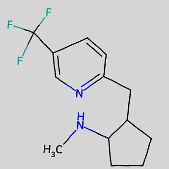 CNC1CCCC1Cc1ccc(C(F)(F)F)cn1